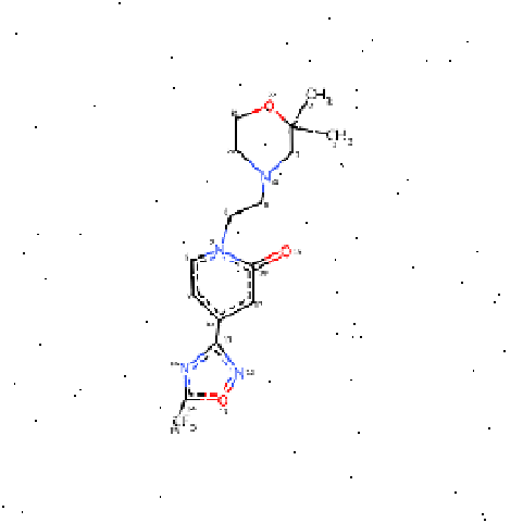 CC1(C)CN(CCn2ccc(-c3noc(C(F)(F)F)n3)cc2=O)CCO1